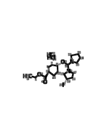 CCOC(=O)[C@H]1CC[C@H](OC(N2CCCC2)N2CC[C@H](F)C2)CC1.Cl.Cl